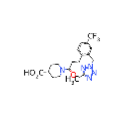 Cc1nnn(Cc2cc(C(F)(F)F)ccc2C=CC(=O)N2CCC(C(=O)O)CC2)n1